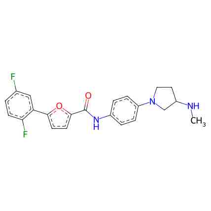 CNC1CCN(c2ccc(NC(=O)c3ccc(-c4cc(F)ccc4F)o3)cc2)C1